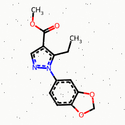 CCc1c(C(=O)OC)cnn1-c1ccc2c(c1)OCO2